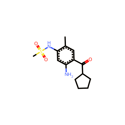 Cc1cc(C(=O)C2CCCC2)c(N)cc1NS(C)(=O)=O